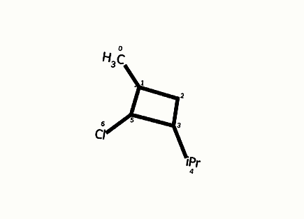 C[C]1CC(C(C)C)C1Cl